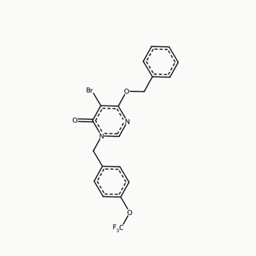 O=c1c(Br)c(OCc2ccccc2)ncn1Cc1ccc(OC(F)(F)F)cc1